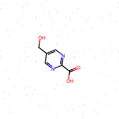 O=C(O)c1ncc(CO)cn1